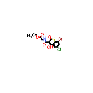 CCOC(=O)CNC(=O)c1c(O)c2cc(Cl)cc(Br)c2sc1=O